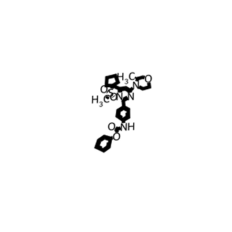 C[C@H]1COCCN1c1cc(C2(S(C)(=O)=O)CCCC2)nc(-c2ccc(NC(=O)Oc3ccccc3)cc2)n1